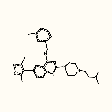 Cc1noc(C)c1-c1ccc2nc(N3CCN(CCN(C)C)CC3)cc(NCc3cccc(Cl)c3)c2c1